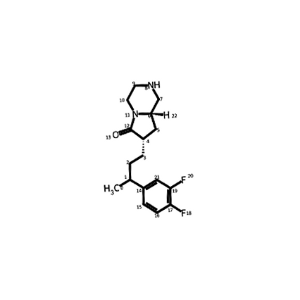 CC(CC[C@H]1C[C@H]2CNCCN2C1=O)c1ccc(F)c(F)c1